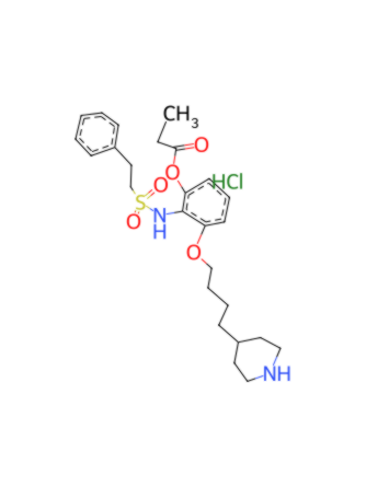 CCC(=O)Oc1cccc(OCCCCC2CCNCC2)c1NS(=O)(=O)CCc1ccccc1.Cl